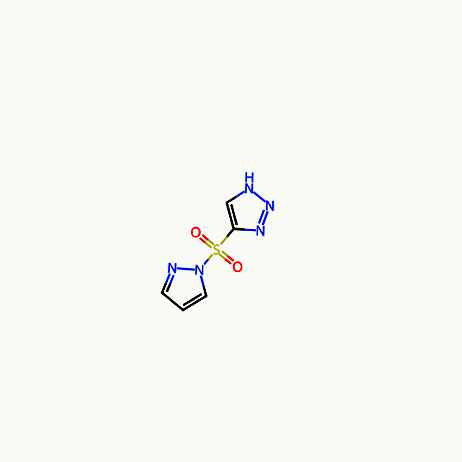 O=S(=O)(c1c[nH]nn1)n1cccn1